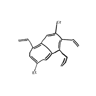 C=Cc1c(CC)cc2c(C=C)cc(CC)cc2c1C=C